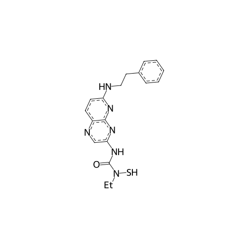 CCN(S)C(=O)Nc1cnc2ccc(NCCc3ccccc3)nc2n1